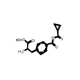 COC(=O)C(C)Cc1ccc(C(=O)OC(=O)C2CC2)cc1